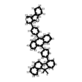 CC1(C)c2cccc(-c3ccc(-c4c5ccccc5c(-c5ccc(-c6cccc7c6oc6ccccc67)cc5)c5ccccc45)cc3)c2-c2ccc3ccccc3c21